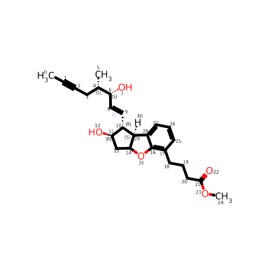 CC#CC[C@H](C)[C@H](O)/C=C/[C@H]1[C@H](O)CC2Oc3c(CCCC(=O)OC)cccc3[C@@H]21